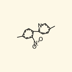 Cc1ccc(-c2ccc(C)cc2[N+](=O)[O-])nc1